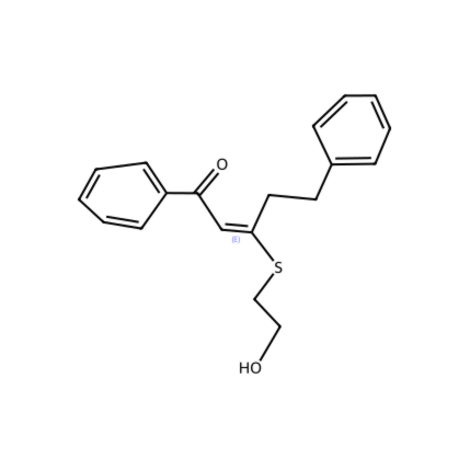 O=C(/C=C(\CCc1ccccc1)SCCO)c1ccccc1